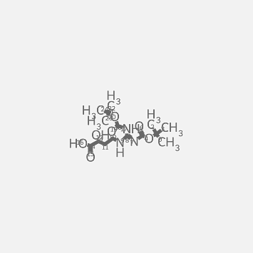 CC(C)(C)OC(=O)/N=C(/NCCC(O)C(=O)O)NC(=O)OC(C)(C)C